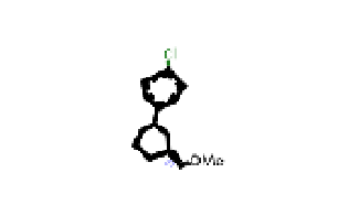 CO/C=C1/CCCC(c2ccc(Cl)cc2)C1